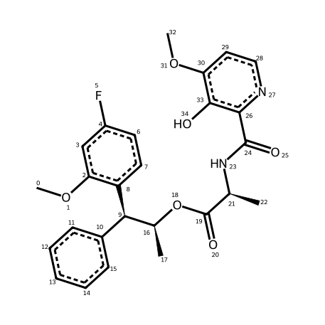 COc1cc(F)ccc1[C@H](c1ccccc1)[C@H](C)OC(=O)[C@H](C)NC(=O)c1nccc(OC)c1O